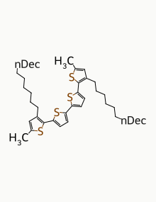 CCCCCCCCCCCCCCCCc1cc(C)sc1-c1ccc(-c2ccc(-c3sc(C)cc3CCCCCCCCCCCCCCCC)s2)s1